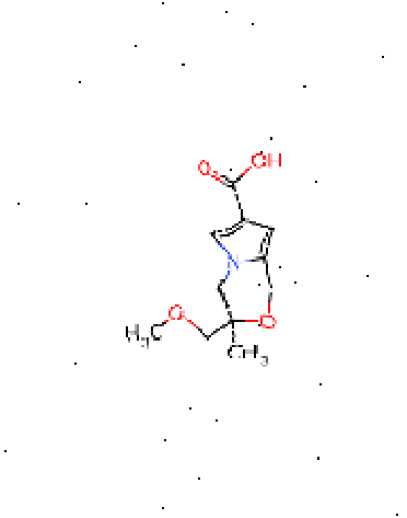 COCC1(C)Cn2cc(C(=O)O)cc2CO1